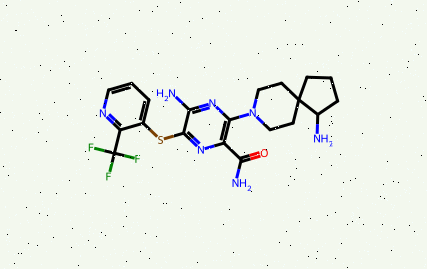 NC(=O)c1nc(Sc2cccnc2C(F)(F)F)c(N)nc1N1CCC2(CCCC2N)CC1